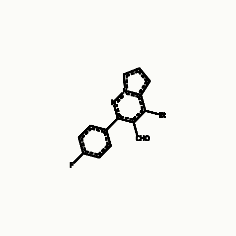 CCc1c(C=O)c(-c2ccc(F)cc2)nn2cccc12